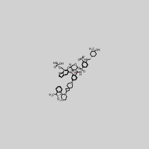 CC(C)c1ccccc1[C@@H]1COCCN1C1CC2(CCN(c3ccc(C(=O)NS(=O)(=O)c4ccc(NC[C@H]5CC[C@](C)(O)CC5)c([N+](=O)[O-])c4)c(N4c5cc6ccnc-6n(COP(=O)(O)O)c5O[C@H]5COCC[C@@H]54)c3)CC2)C1